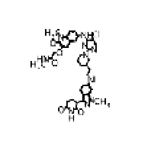 CNC(=O)COc1cc2cc(Nc3nc(N4CCCC(CCNc5ccc6c(C7CCC(=O)NC7=O)nn(C)c6c5)C4)ncc3Cl)ccc2n(C)c1=O